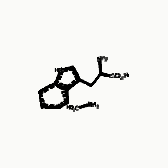 NC(=O)O.NC(Cc1c[nH]c2ccccc12)C(=O)O